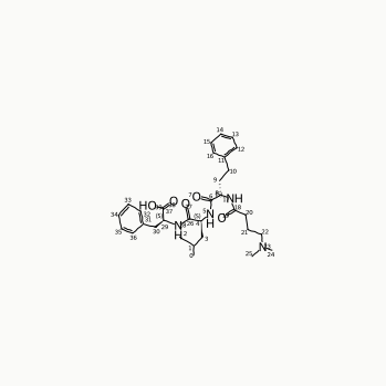 CC(C)C[C@H](NC(=O)[C@H](CCc1ccccc1)NC(=O)CCCN(C)C)C(=O)N[C@@H](Cc1ccccc1)C(=O)O